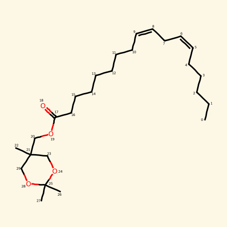 CCCCC/C=C\C/C=C\CCCCCCCC(=O)OCC1(C)COC(C)(C)OC1